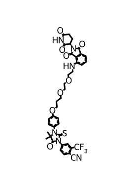 CC1(C)C(=O)N(c2ccc(C#N)c(C(F)(F)F)c2)C(=S)N1c1ccc(OCCCOCCOCCNc2cccc3c2C(=O)N(C2CCC(=O)NC2=O)C3=O)cc1